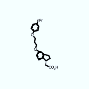 CCCc1ccc(OCCCOc2ccc3c(c2)CC[C@H]3CC(=O)O)cc1